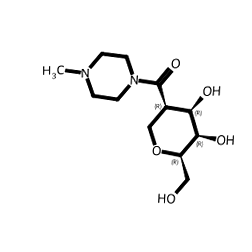 CN1CCN(C(=O)[C@@H]2CO[C@H](CO)[C@H](O)[C@@H]2O)CC1